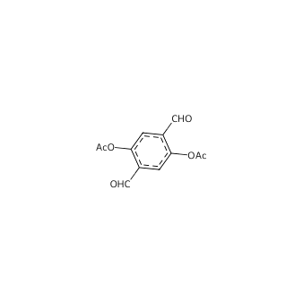 CC(=O)Oc1cc(C=O)c(OC(C)=O)cc1C=O